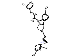 O=C(NCc1ccnc(Cl)c1)n1c2c(c3ccc(Cl)cc31)CN(C/C=C/c1ccc(F)cc1F)CC2